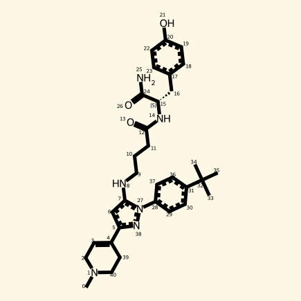 CN1CC=C(c2cc(NCCCC(=O)N[C@@H](Cc3ccc(O)cc3)C(N)=O)n(-c3ccc(C(C)(C)C)cc3)n2)CC1